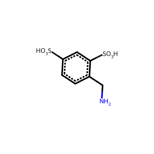 NCc1ccc(S(=O)(=O)O)cc1S(=O)(=O)O